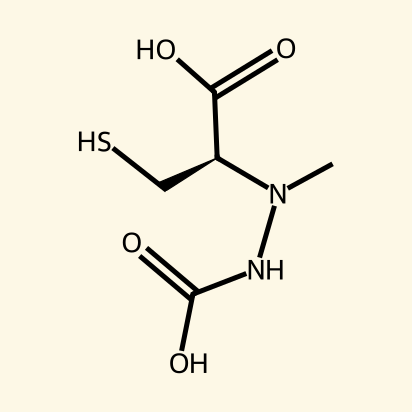 CN(NC(=O)O)[C@@H](CS)C(=O)O